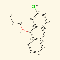 CCCOc1c2ccccc2cc2ccc(Cl)cc12